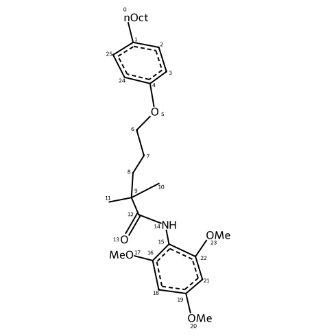 CCCCCCCCc1ccc(OCCCC(C)(C)C(=O)Nc2c(OC)cc(OC)cc2OC)cc1